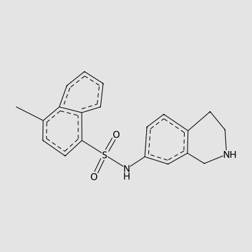 Cc1ccc(S(=O)(=O)Nc2ccc3c(c2)CNCC3)c2ccccc12